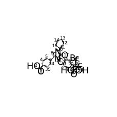 O=C(O)c1ccc(C2CN(c3ccccc3)C(=O)N2Cc2ccc(C(F)(F)P(=O)(O)O)c(Br)c2)cc1